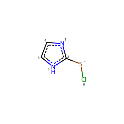 ClSc1ncc[nH]1